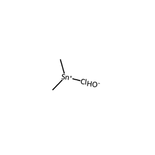 [CH3][Sn+]([CH3])[Cl].[OH-]